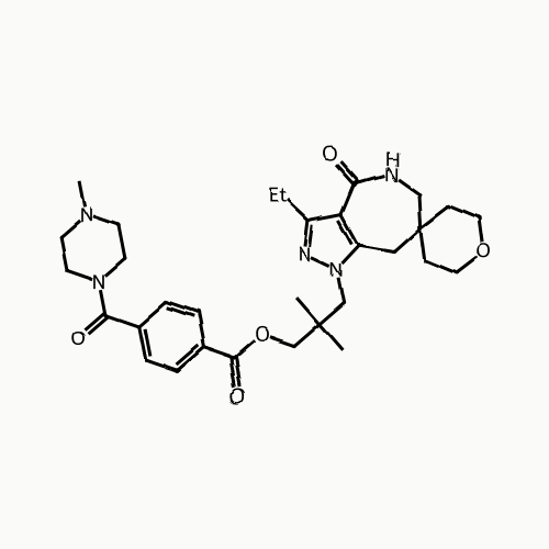 CCc1nn(CC(C)(C)COC(=O)c2ccc(C(=O)N3CCN(C)CC3)cc2)c2c1C(=O)NCC1(CCOCC1)C2